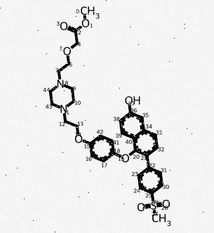 COC(=O)COCCN1CCN(CCOc2ccc(Oc3c(-c4ccc(S(C)(=O)=O)cc4)ccc4cc(O)ccc34)cc2)CC1